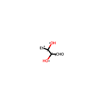 CCC(O)C(O)C=O